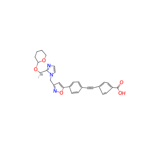 C[C@H](OC1CCCCO1)c1nccn1Cc1cc(-c2ccc(C#Cc3ccc(C(=O)O)cc3)cc2)on1